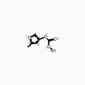 CCOC(=O)Oc1coc(C)c1